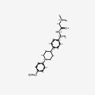 CCOc1ccc(N2CCC(c3ccc([C@H](C)NC(=O)CN(C)C)cc3)CC2)cc1